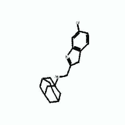 Clc1ccc2c(c1)N=C(CNC13CC4CC(CC(C4)C1)C3)C2